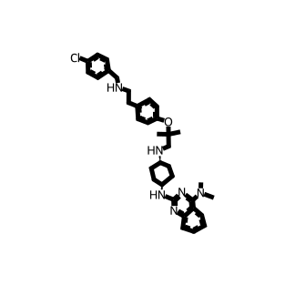 CN(C)c1nc(N[C@H]2CC[C@@H](NCC(C)(C)Oc3ccc(CCNCc4ccc(Cl)cc4)cc3)CC2)nc2ccccc12